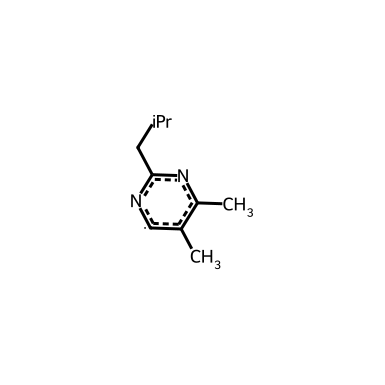 Cc1[c]nc(CC(C)C)nc1C